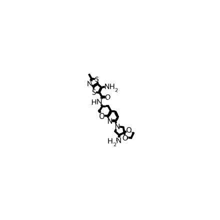 Cc1nc2sc(C(=O)NC3COc4nc(N5CC(N)C6(C5)OCCO6)ccc4C3)c(N)c2s1